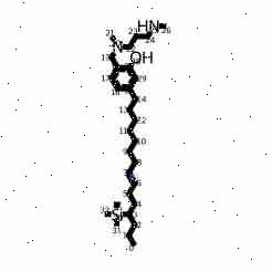 CCCC(CC/C=C/CCCCCCCc1ccc(CN(C)CCCNC)c(O)c1)[Si](C)(C)C